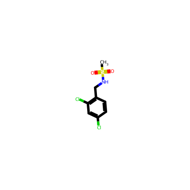 CS(=O)(=O)NCc1ccc(Cl)cc1Cl